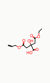 C=CCOC(=O)CC(O)(CC(=O)OCC)C(=O)O